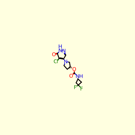 O=C(NC1CC(F)(F)C1)O[C@@H]1CCN(c2cn[nH]c(=O)c2Cl)C1